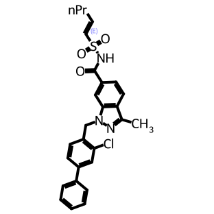 CCC/C=C/S(=O)(=O)NC(=O)c1ccc2c(C)nn(Cc3ccc(-c4ccccc4)cc3Cl)c2c1